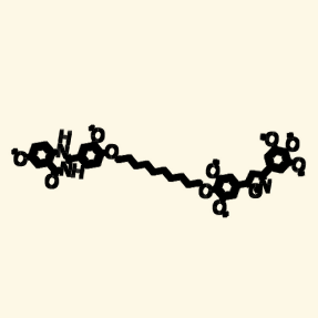 COc1ccc2c(c1)C(=O)NC(c1ccc(OCCCCCCCCCCOc3c(OC)cc(C4CC(c5cc(OC)c(OC)c(OC)c5)=NO4)cc3OC)c(OC)c1)N2